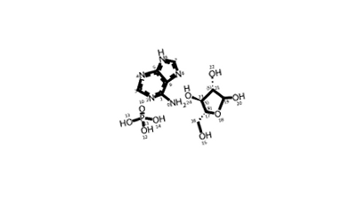 Nc1ncnc2[nH]cnc12.O=P(O)(O)O.OC[C@H]1OC(O)[C@@H](O)[C@@H]1O